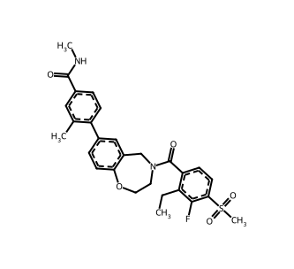 CCc1c(C(=O)N2CCOc3ccc(-c4ccc(C(=O)NC)cc4C)cc3C2)ccc(S(C)(=O)=O)c1F